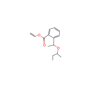 C=COC(=O)c1ccccc1C(C)OC(C)CC